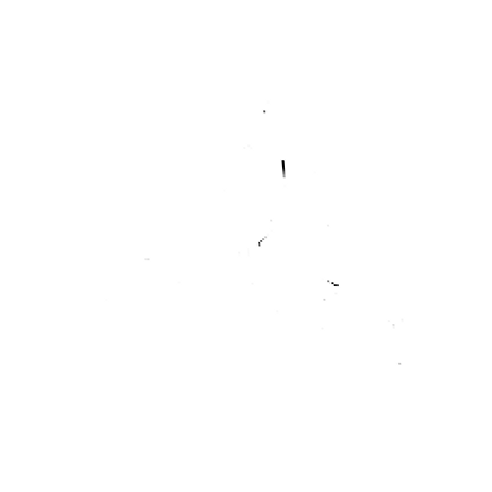 CC(=O)O.CC(=O)O.C[C@]12CC[C@H](O)CC1=CC[C@@H]1[C@@H]2CC[C@]2(C)C(c3cccnc3)=CC[C@@H]12